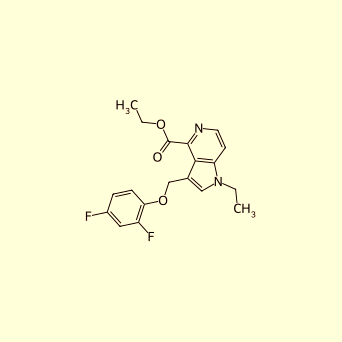 CCOC(=O)c1nccc2c1c(COc1ccc(F)cc1F)cn2CC